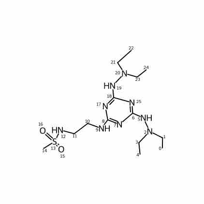 CCN(CC)Nc1nc(NCCNS(C)(=O)=O)nc(NN(CC)CC)n1